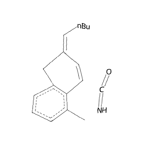 CCCCC=C1C=Cc2c(C)cccc2C1.N=C=O